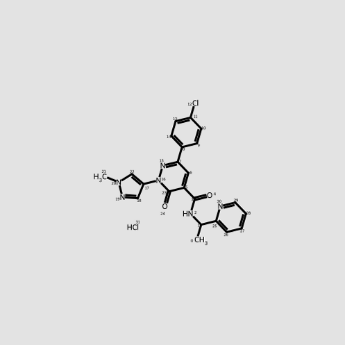 CC(NC(=O)c1cc(-c2ccc(Cl)cc2)nn(-c2cnn(C)c2)c1=O)c1ccccn1.Cl